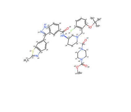 [2H]C([2H])([2H])Oc1cccc(F)c1CN1C[C@H](NC(=O)c2ccc3[nH]nc(-c4ccc5nc(C)sc5c4)c3c2)CC[C@H]1C(=O)N1CCN(C(=O)OC(C)(C)C)CC1